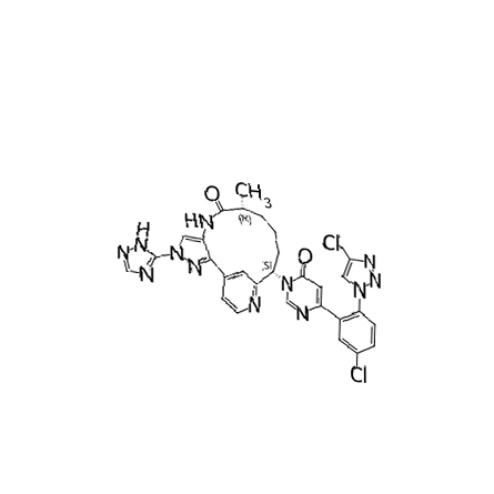 C[C@@H]1CCC[C@H](n2cnc(-c3cc(Cl)ccc3-n3cc(Cl)nn3)cc2=O)c2cc(ccn2)-c2nn(-c3ncn[nH]3)cc2NC1=O